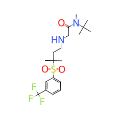 CN(C(=O)CNCCC(C)(C)S(=O)(=O)c1cccc(C(F)(F)F)c1)C(C)(C)C